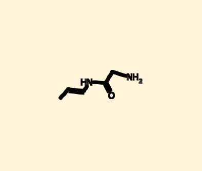 CC=CNC(=O)CN